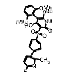 CCCCc1[nH]c(=O)c(S(=O)(=O)c2ccc(-c3ccc(F)nc3C)cc2)c(O)c1-c1c(OC)cccc1OC